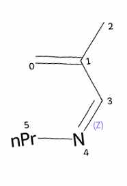 C=C(C)/C=N\CCC